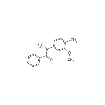 COc1cc(N(C)C(=O)c2ccccc2)ccc1C